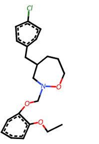 CCOc1ccccc1OCN1CC(Cc2ccc(Cl)cc2)CCCO1